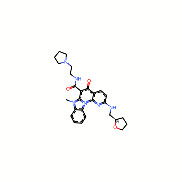 Cn1c2ccccc2n2c3nc(NC[C@H]4CCCO4)ccc3c(=O)c(C(=O)NCCN3CCCC3)c12